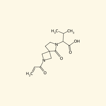 C=CC(=O)N1CC2(CCN(C(C(=O)O)C(C)C)C2=O)C1